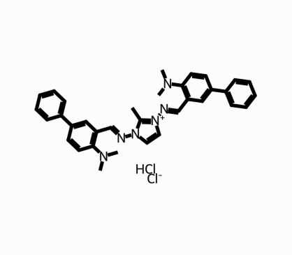 Cc1n(N=Cc2cc(-c3ccccc3)ccc2N(C)C)cc[n+]1N=Cc1cc(-c2ccccc2)ccc1N(C)C.Cl.[Cl-]